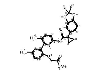 COC(=O)COc1ncc(C)cc1-c1nc(NC(=O)C2(c3ccc4c(c3)OC(F)(F)O4)CC2)ccc1C